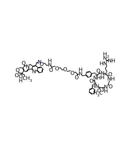 CC[C@@H]1NC(=O)CNC(=O)[C@H](CCCNC(=N)N)NC(=O)[C@H](Cc2ccc(CNC(=O)COCCOCCOCC(=O)NCCO/N=C\c3c4c(nc5ccccc35)-c3cc5c(c(=O)n3C4)COC(=O)[C@]5(O)CC)cc2)NC(=O)[C@@H](Cc2ccccc2)NC1=O